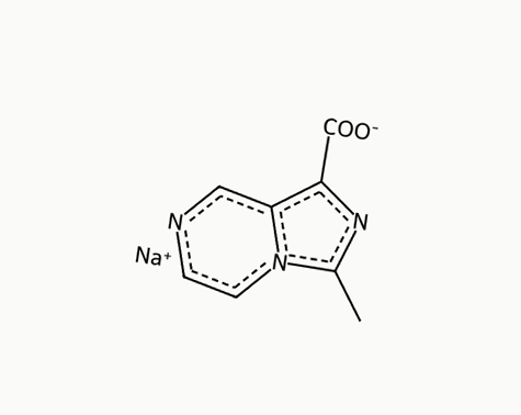 Cc1nc(C(=O)[O-])c2cnccn12.[Na+]